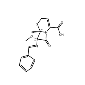 CO[C@@]1(N=Cc2ccccc2)C(=O)N2C(C(=O)O)=CCS[C@H]21